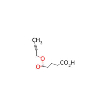 CC#CCOC(=O)CCCC(=O)O